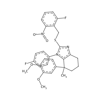 COc1ccc(C2(C)CCCc3nc(SCc4c(F)cccc4[N+](=O)[O-])n(-c4ccc(F)cc4)c32)cc1OC